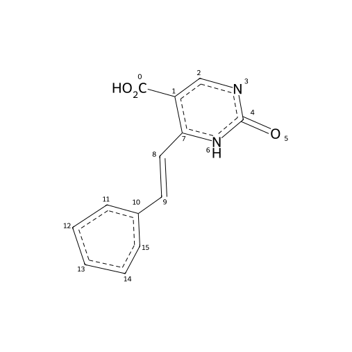 O=C(O)c1cnc(=O)[nH]c1C=Cc1ccccc1